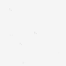 Fc1cc(Br)c2nc3c(nc2c1)-c1cccnc1CO3